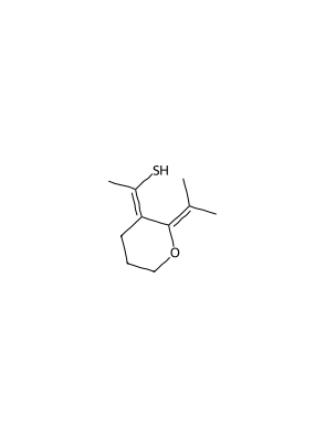 CC(C)=C1OCCC/C1=C(\C)S